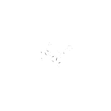 CC1(C)CC(=O)c2c(CC3CC3)nn(-c3ncc(C(N)=O)c(NC(N)C(=O)OC4CCCC4)n3)c2C1